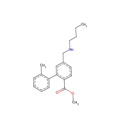 CCCCNCc1ccc(C(=O)OC)c(-c2ccccc2C)c1